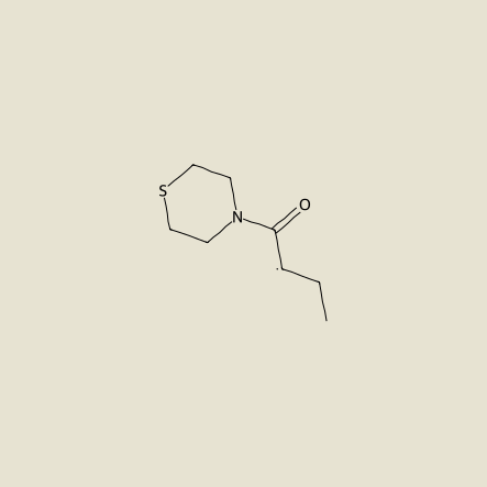 CC[CH]C(=O)N1CCSCC1